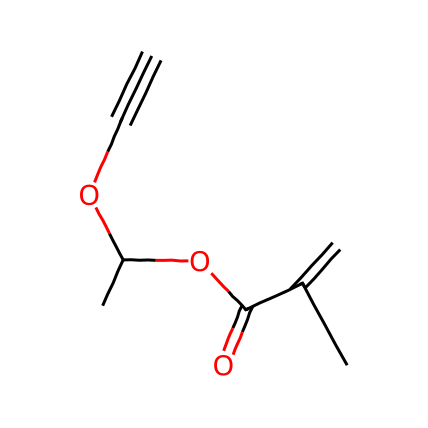 C#COC(C)OC(=O)C(=C)C